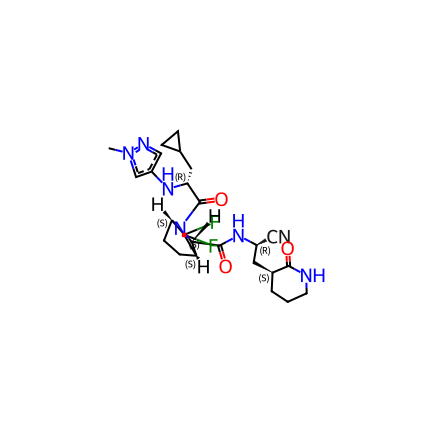 Cn1cc(N[C@H](CC2CC2)C(=O)N2[C@H]3CC[C@@H]([C@H]2C(=O)N[C@@H](C#N)C[C@@H]2CCCNC2=O)C(F)(F)C3)cn1